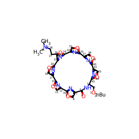 CCCCOCC1NC(=O)c2coc(n2)-c2coc(n2)-c2coc(n2)-c2nc(oc2CCN(C)C)-c2coc(n2)-c2coc(n2)-c2coc1n2